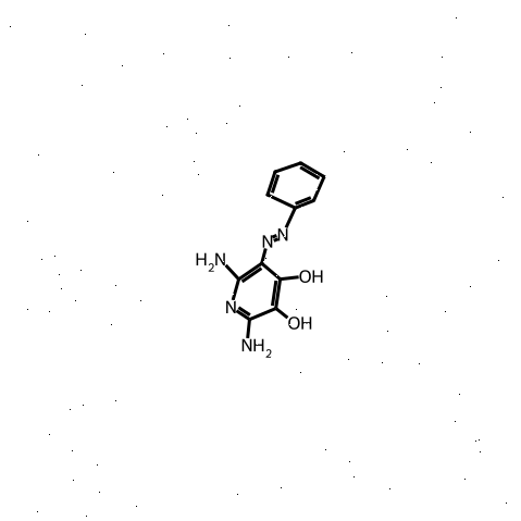 Nc1nc(N)c(/N=N/c2ccccc2)c(O)c1O